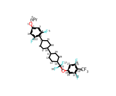 CCCOc1cc(F)c(C2CCC(C3CCC(C(F)(F)Oc4cc(F)c(C(F)(F)F)c(F)c4)CC3)CC2)c(F)c1